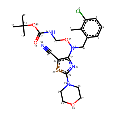 Cc1c(Cl)cccc1CN(OCNC(=O)OC(C)(C)C)c1nc(N2CCOCC2)sc1C#N